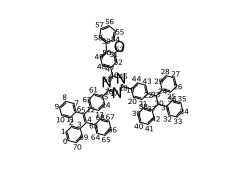 c1ccc(C(=C(c2ccccc2)c2ccc(-c3nc(-c4ccc(C(c5ccccc5)C(c5ccccc5)c5ccccc5)cc4)nc(-c4ccc5c(c4)oc4ccccc45)n3)cc2)c2ccccc2)cc1